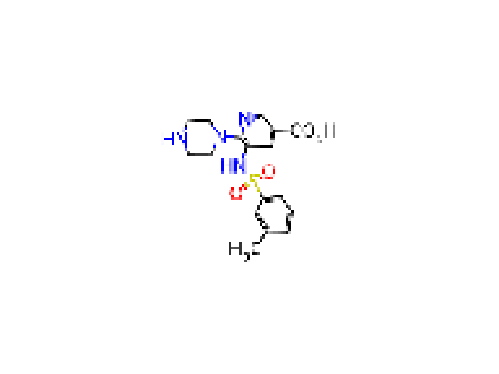 Cc1cccc(S(=O)(=O)Nc2cc(C(=O)O)cnc2N2CCNCC2)c1